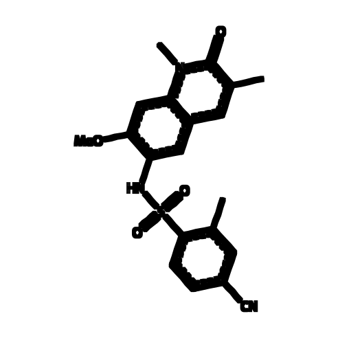 COc1cc2c(cc1NS(=O)(=O)c1ccc(C#N)cc1C)cc(C)c(=O)n2C